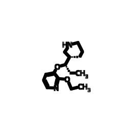 CCOc1ncccc1O[C@@H](CC)[C@H]1CCCNC1